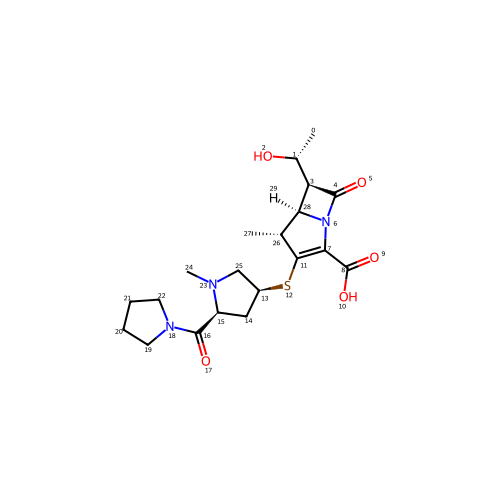 C[C@@H](O)[C@H]1C(=O)N2C(C(=O)O)=C(S[C@H]3C[C@@H](C(=O)N4CCCC4)N(C)C3)[C@H](C)[C@@H]12